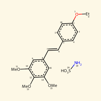 CCOc1ccc(/C=C/c2cc(OC)c(OC)c(OC)c2)cc1.NS(=O)(=O)O